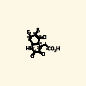 O=C(O)Cn1c(=O)c(=O)[nH]c2cc(F)c(F)c(Cl)c21